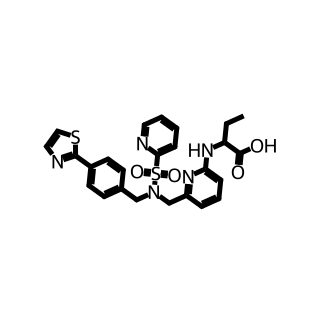 CCC(Nc1cccc(CN(Cc2ccc(-c3nccs3)cc2)S(=O)(=O)c2ccccn2)n1)C(=O)O